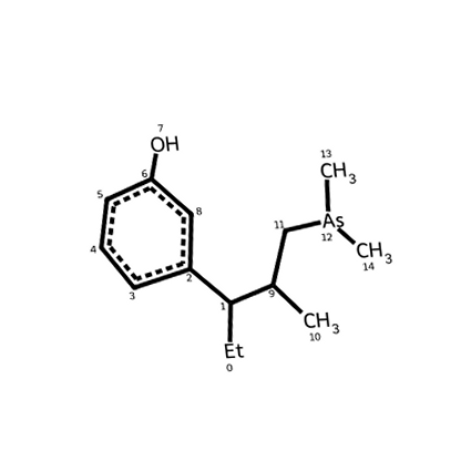 CCC(c1cccc(O)c1)C(C)C[As](C)C